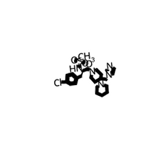 CS(=O)(=O)N[C@H](Cc1ccc(Cl)cc1)C(=O)N1CCC(Cn2ccnc2)(N2CCCCC2)CC1